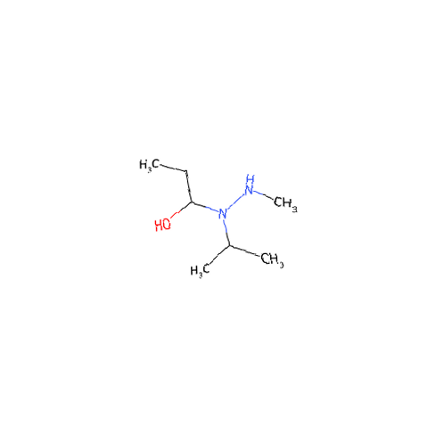 CCC(O)N(NC)C(C)C